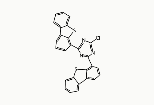 Clc1nc(-c2cccc3c2sc2ccccc23)nc(-c2cccc3c2sc2ccccc23)n1